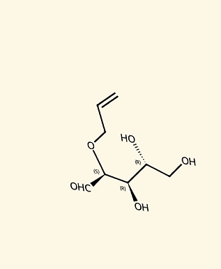 C=CCO[C@H](C=O)[C@H](O)[C@H](O)CO